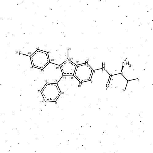 CC(C)[C@H](N)C(=O)Nc1cnc2c(-c3ccncc3)c(-c3ccc(F)cc3)n(C)c2n1